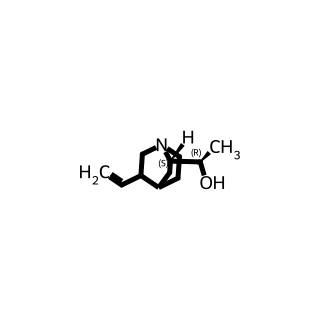 C=CC1CN2CCC1C[C@H]2[C@@H](C)O